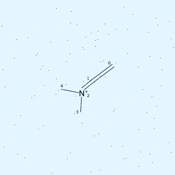 C=C=[N+](C)C